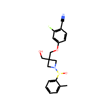 Cc1ccccc1[S+]([O-])N1CC(CO)(COc2ccc(C#N)c(F)c2)C1